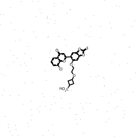 O=C(O)C1CC(OCCOc2cc3oc(=S)oc3cc2-c2cc(=O)c3cccc(Cl)c3o2)C1